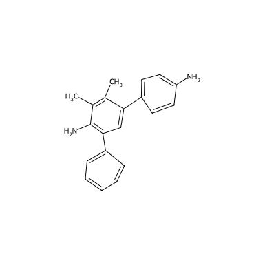 Cc1c(-c2ccc(N)cc2)cc(-c2ccccc2)c(N)c1C